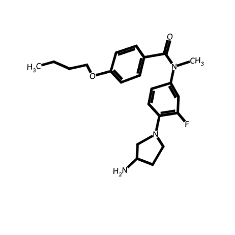 CCCCOc1ccc(C(=O)N(C)c2ccc(N3CCC(N)C3)c(F)c2)cc1